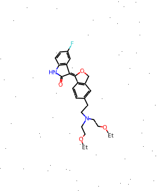 CCOCCN(CCOCC)CCc1ccc2c(c1)COC2=C1C(=O)Nc2ccc(F)cc21